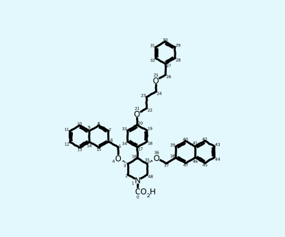 O=C(O)N1C[C@H](OCc2ccc3ccccc3c2)C(c2ccc(OCCCOCc3ccccc3)cc2)[C@H](OCc2ccc3ccccc3c2)C1